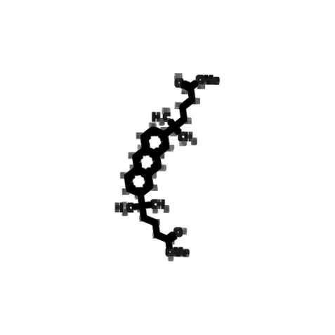 COC(=O)CCCC(C)(C)c1ccc2cc3ccc(C(C)(C)CCCC(=O)OC)cc3cc2c1